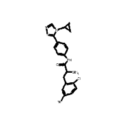 NC(Cc1cc(Br)ccc1Cl)C(=O)Nc1ccc(-c2nncn2C2CC2)cc1